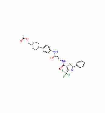 CC(=O)OCC1CCC(c2ccc(NC(=O)CCNC(=O)c3sc(-c4ccccc4)nc3C(F)(F)F)cc2)CC1